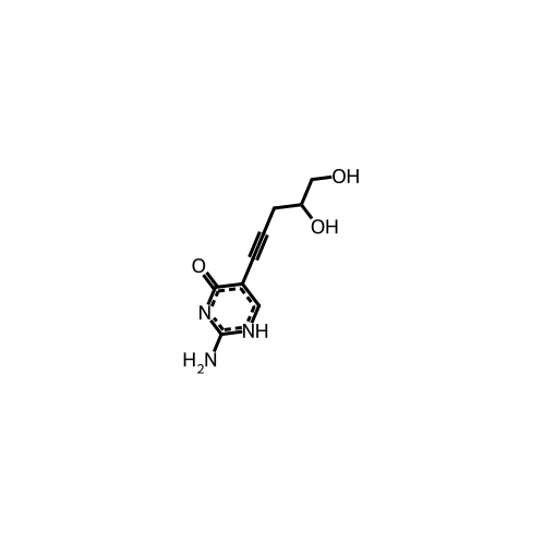 Nc1nc(=O)c(C#CCC(O)CO)c[nH]1